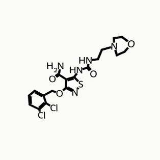 NC(=O)c1c(OCc2cccc(Cl)c2Cl)nsc1NC(=O)NCCN1CCOCC1